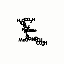 COc1cc2c(cc1OCCCOc1c(F)c3c(c(F)c1OC)CN(C(=O)C[C@H](C)C(=O)O)C3)CN(C(=O)C[C@H](C)C(=O)O)C2